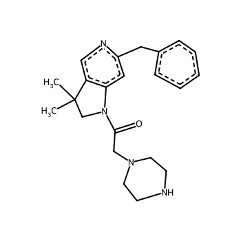 CC1(C)CN(C(=O)CN2CCNCC2)c2cc(Cc3ccccc3)ncc21